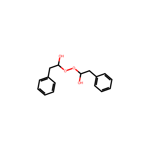 OC(Cc1ccccc1)OOC(O)Cc1ccccc1